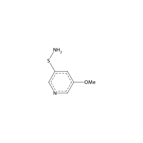 COc1cncc(SN)c1